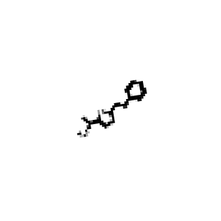 CC(N)C1CCC(CCc2ccccc2)O1